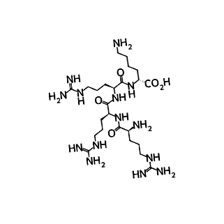 N=C(N)NCCC[C@H](NC(=O)[C@H](CCCNC(=N)N)NC(=O)[C@@H](N)CCCNC(=N)N)C(=O)N[C@H](CCCCN)C(=O)O